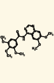 COc1cc2ncnc(NC(=O)c3cc(OC)c(OC)c(OC)c3)c2cc1OC